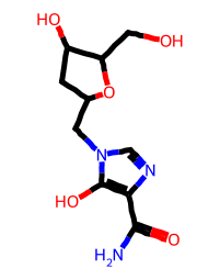 NC(=O)c1ncn(CC2CC(O)C(CO)O2)c1O